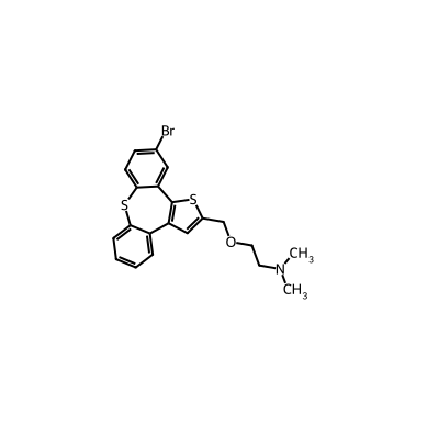 CN(C)CCOCc1cc2c(s1)-c1cc(Br)ccc1Sc1ccccc1-2